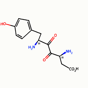 N[C@@H](CC(=O)O)C(=O)C(=O)[C@@H](N)Cc1ccc(O)cc1